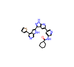 O=C(Nc1cncc(-c2cnc3[nH]nc(-c4cc5c(-c6cccs6)cncc5[nH]4)c3c2)c1)C1CCCCC1